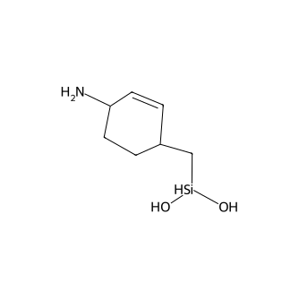 NC1C=CC(C[SiH](O)O)CC1